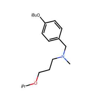 CC(C)COc1ccc(CN(C)CCCOC(C)C)cc1